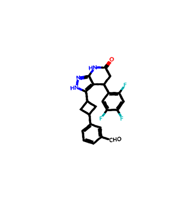 O=Cc1cccc(C2CC(c3[nH]nc4c3C(c3cc(F)c(F)cc3F)CC(=O)N4)C2)c1